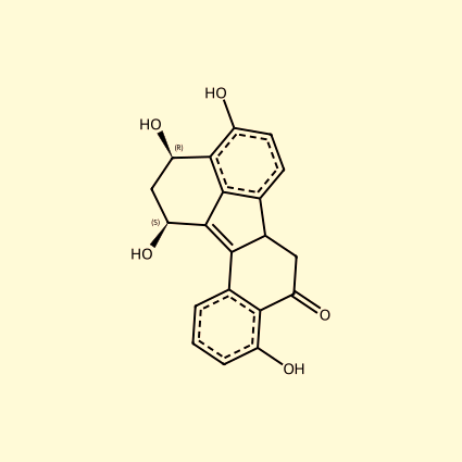 O=C1CC2C(=C3c4c2ccc(O)c4[C@H](O)C[C@@H]3O)c2cccc(O)c21